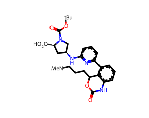 CNCCCC1OC(=O)Nc2cccc(-c3cccc(N[C@H]4C[C@@H](C(=O)O)N(C(=O)OC(C)(C)C)C4)n3)c21